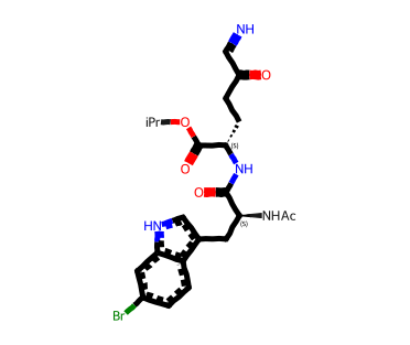 CC(=O)N[C@@H](Cc1c[nH]c2cc(Br)ccc12)C(=O)N[C@@H](CCC(=O)C=N)C(=O)OC(C)C